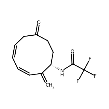 C=C1/C=C\C=C/CC(=O)CC[C@@H]1NC(=O)C(F)(F)F